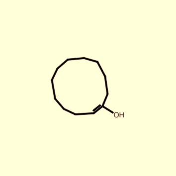 OC1=CCCCCCCCCCC1